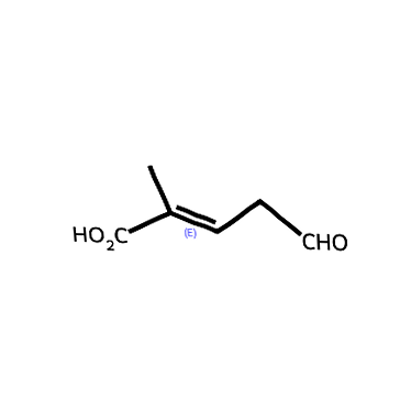 C/C(=C\CC=O)C(=O)O